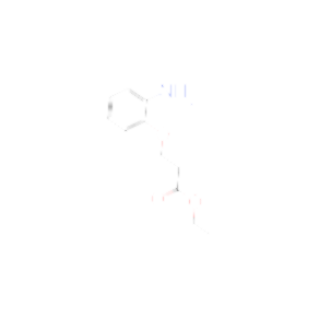 CCOC(=O)CCOc1ccccc1N